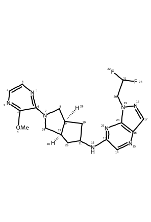 COc1nccnc1N1C[C@H]2CC(Nc3cnc4cnn(CC(F)F)c4n3)C[C@H]2C1